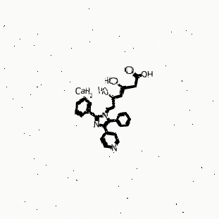 O=C(O)C[C@H](O)C[C@H](O)CCn1c(-c2ccccc2)nc(-c2ccncc2)c1-c1ccccc1.[CaH2]